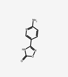 Nc1ccc(-c2noc(=O)[nH]2)cn1